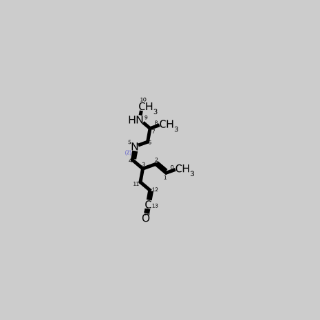 CC=CC(/C=N\CC(C)NC)CC=C=O